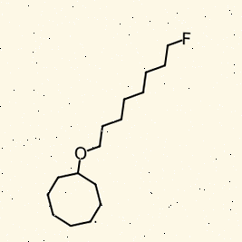 FCCCCCCCCOC1CC[CH]CCCC1